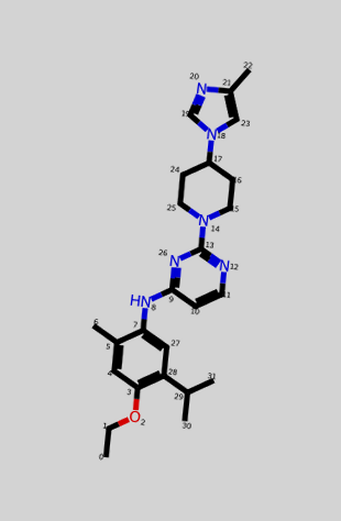 CCOc1cc(C)c(Nc2ccnc(N3CCC(n4cnc(C)c4)CC3)n2)cc1C(C)C